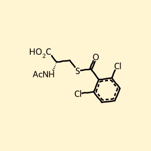 CC(=O)N[C@@H](CSC(=O)c1c(Cl)cccc1Cl)C(=O)O